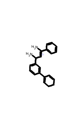 N/C(=C\C(N)c1cccc(C2=CCCC=C2)c1)c1ccccc1